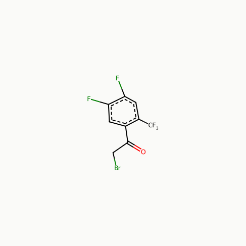 O=C(CBr)c1cc(F)c(F)cc1C(F)(F)F